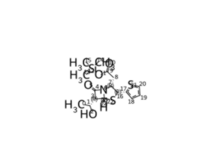 CC(O)[C@@H]1C(=O)N2[C@H](CC(=O)O[Si](C)(C)C)[C@H](c3cccs3)S[C@H]12